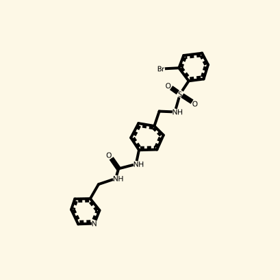 O=C(NCc1cccnc1)Nc1ccc(CNS(=O)(=O)c2ccccc2Br)cc1